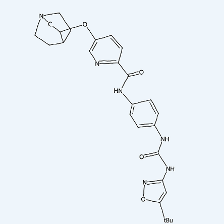 CC(C)(C)c1cc(NC(=O)Nc2ccc(NC(=O)c3ccc(OC4CN5CCC4CC5)cn3)cc2)no1